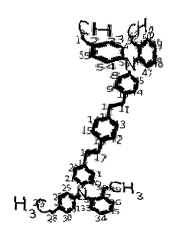 CCc1ccc(N(c2ccc(C=Cc3ccc(C=Cc4ccc(N(c5ccc(CC)cc5)c5ccccc5CC)cc4)cc3)cc2)c2ccccc2CC)cc1